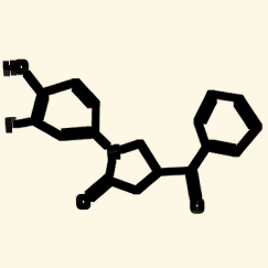 O=C(c1ccccc1)C1CC(=O)N(c2ccc(O)c(F)c2)C1